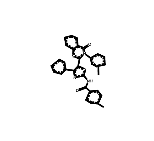 Cc1ccc(C(=O)Nc2nc(-c3ccccc3)c(-c3nc4ccccc4c(=O)n3-c3cccc(C)c3)s2)cc1